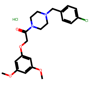 COc1cc(OC)cc(OCC(=O)N2CCN(Cc3ccc(Cl)cc3)CC2)c1.Cl